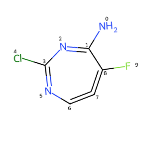 NC1=NC(Cl)=NC=C=C1F